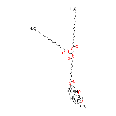 CCCCCCCCCCCCCCCC(=O)OCC(COC(=O)CCCCCCCCCCCCCCC)OC(=O)CCCCCCCCC(=O)O[C@@H]1CC[C@@]2(C)[C@@H](CC[C@H]3[C@@H]4CC[C@H](C(C)=O)[C@@]4(C)CC(=O)[C@@H]32)C1